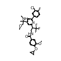 CNC(C)(COC)c1cc(-c2ccc(F)c(Cl)c2)nc(C(CNC(=O)c2ccc(OC3CC3)c(OC)c2)C(F)(F)F)c1